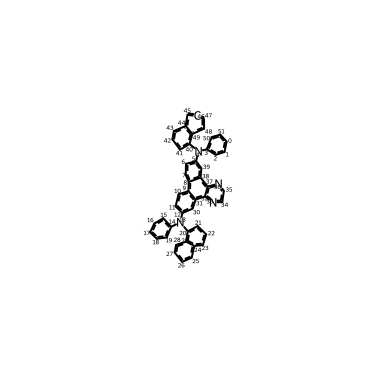 c1ccc(N(c2ccc3c4ccc(N(c5ccccc5)c5cccc6ccccc56)cc4c4nccnc4c3c2)c2cccc3ccccc23)cc1